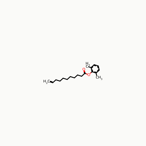 C=CCCCCCCCCC(=O)Oc1c(C)cccc1C